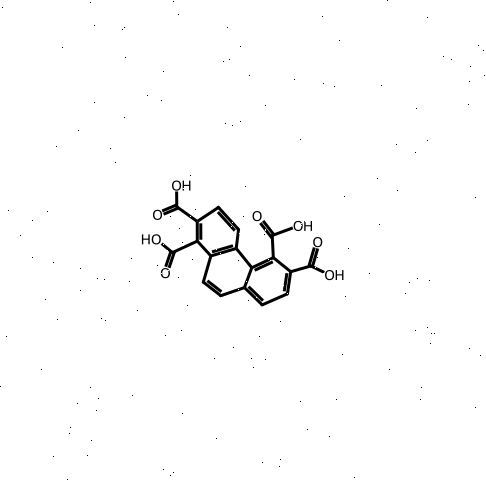 O=C(O)c1ccc2c(ccc3ccc(C(=O)O)c(C(=O)O)c32)c1C(=O)O